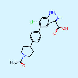 CC(=O)N1CCC(c2ccc(-c3cc(C(=N)C(=O)O)c(N)cc3Cl)cc2)CC1